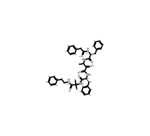 CC(NC(=O)[C@H](Cc1ccccc1)NC(=O)Cc1ccccc1)C(=O)C(=O)N[C@@H](Cc1ccccc1)C(=O)NC(C)(C)C(=O)NCCc1ccccc1